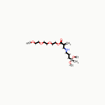 CCCOCCOCCOCCOC(=O)C(C)CNCCC[Si](C)(OCC)OCC